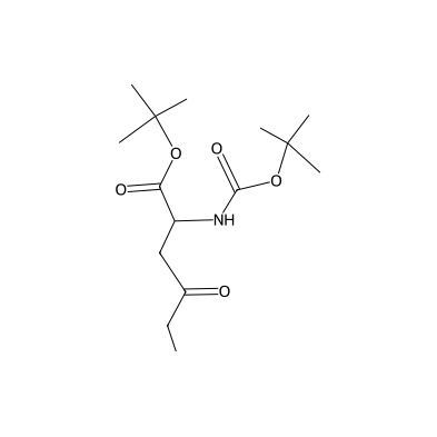 CCC(=O)CC(NC(=O)OC(C)(C)C)C(=O)OC(C)(C)C